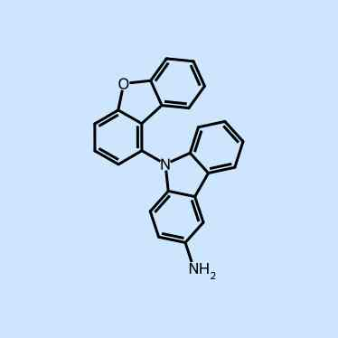 Nc1ccc2c(c1)c1ccccc1n2-c1cccc2oc3ccccc3c12